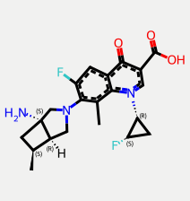 Cc1c(N2C[C@H]3[C@@H](C)C[C@@]3(N)C2)c(F)cc2c(=O)c(C(=O)O)cn([C@@H]3C[C@@H]3F)c12